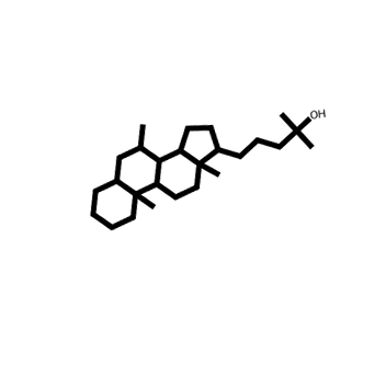 CC1CC2CCCCC2(C)C2CCC3(C)C(CCCC(C)(C)O)CCC3C12